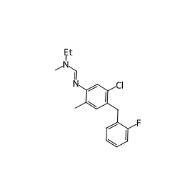 CCN(C)C=Nc1cc(Cl)c(Cc2ccccc2F)cc1C